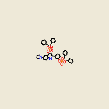 O=P(OCc1ccccc1)(OCc1ccccc1)Oc1cccc(-c2cc(OP(=O)(OCc3ccccc3)OCc3ccccc3)c3cc(N4CCCC4)ccc3n2)c1